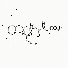 NCC(=O)NC(CNCC(=O)NCC(=O)O)Cc1ccccc1